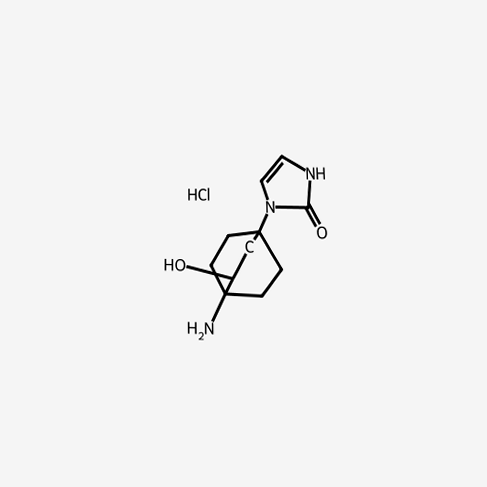 Cl.NC12CCC(n3cc[nH]c3=O)(CC1)CC2O